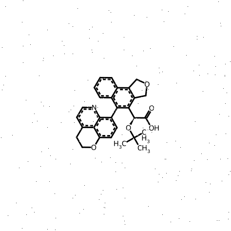 CC(C)(C)O[C@H](C(=O)O)c1c2c(c3ccccc3c1-c1ccc3c4c(ccnc14)CCO3)COC2